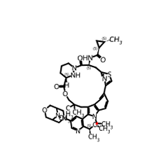 CCn1c(-c2cc(N3CC4COCC(C3)N4C)cnc2[C@H](C)OC)c2c3cc(ccc31)-c1csc(n1)C[C@H](NC(=O)[C@H]1C[C@@H]1C)C(=O)N1CCC[C@H](N1)C(=O)OCC(C)(C)C2